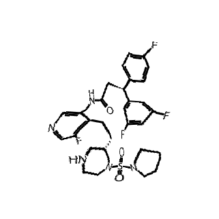 O=C(C[C@@H](c1ccc(F)cc1)c1cc(F)cc(F)c1)Nc1cncc(F)c1CC[C@H]1CNCCN1S(=O)(=O)N1CCCC1